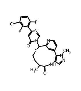 CC1CCCC(n2cnc(-c3c(F)ccc(Cl)c3F)cc2=O)c2cc(ccn2)-c2c(cnn2C)NC1=O